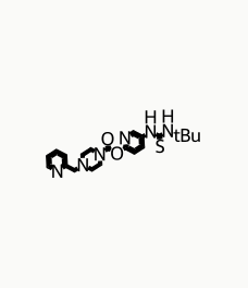 CC(C)(C)NC(=S)Nc1ccc(OC(=O)N2CCN(Cc3ccccn3)CC2)nc1